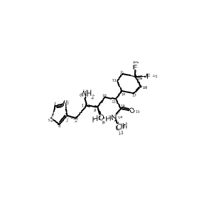 NC(Cc1cscn1)C(O)CC(C(=O)NO)C1CCC(F)(F)CC1